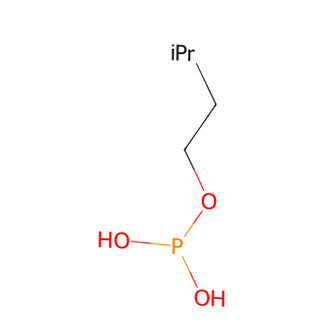 CC(C)CCOP(O)O